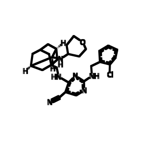 N#Cc1cnc(NCc2ccccc2Cl)nc1NC[C@]12CC3C[C@H](C1)[C@@H](NC1CCOCC1)[C@@H](C3)C2